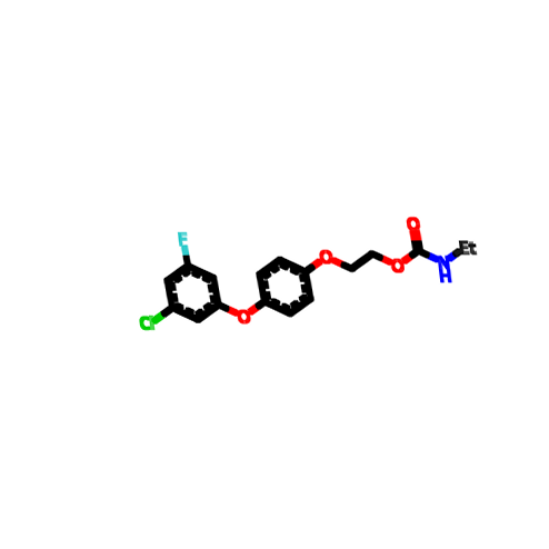 CCNC(=O)OCCOc1ccc(Oc2cc(F)cc(Cl)c2)cc1